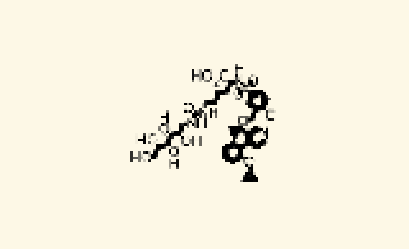 O=C(NCCCC[C@H](NS(=O)(=O)c1ccc(Cl)c(COC2(c3cnccc3-c3ccccc3OC3CC3)CC2)c1)C(=O)O)NC[C@H](O)[C@@H](O)[C@H](O)[C@H](O)CO